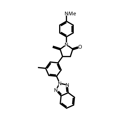 C=C1C(c2cc(C)cc(-n3nc4ccccc4n3)c2)CC(=O)N1c1ccc(NC)cc1